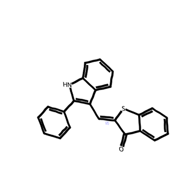 O=C1/C(=C/c2c(-c3ccccc3)[nH]c3ccccc23)Sc2ccccc21